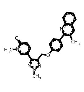 Cc1cc2ccccc2nc1-c1ccc(OCc2nn(C)nc2-c2ccc(=O)n(C)c2)cc1